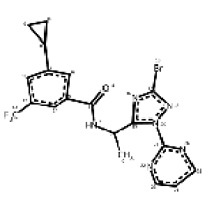 CC(NC(=O)c1cc(C2CC2)cc(C(F)(F)F)c1)c1nc(Br)nn1-c1ncccn1